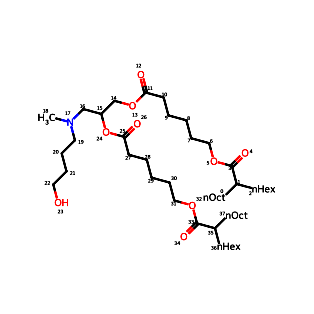 CCCCCCCCC(CCCCCC)C(=O)OCCCCCC(=O)OCC(CN(C)CCCCO)OC(=O)CCCCCOC(=O)C(CCCCCC)CCCCCCCC